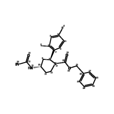 Cc1cc(F)ccc1[C@@H]1C[C@@H](NC(=O)C(C)C)CCN1C(=O)OCc1ccccc1